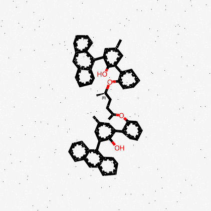 Cc1cc(-c2ccccc2OC(C)CC[C@@H](C)Oc2ccccc2-c2cc(C)cc(-c3c4ccccc4cc4ccccc34)c2O)c(O)c(-c2c3ccccc3cc3ccccc23)c1